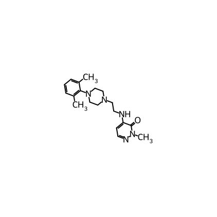 Cc1cccc(C)c1N1CCN(CCNc2ccnn(C)c2=O)CC1